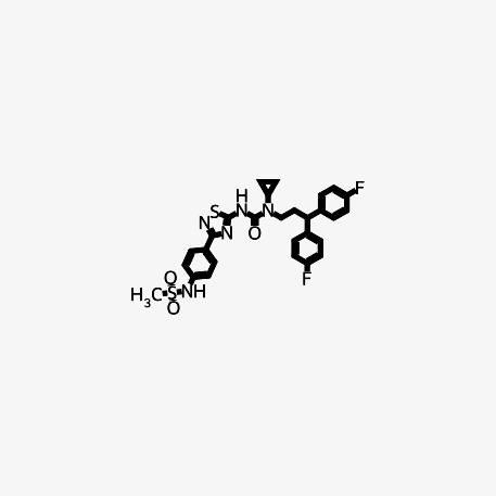 CS(=O)(=O)Nc1ccc(-c2nsc(NC(=O)N(CCC(c3ccc(F)cc3)c3ccc(F)cc3)C3CC3)n2)cc1